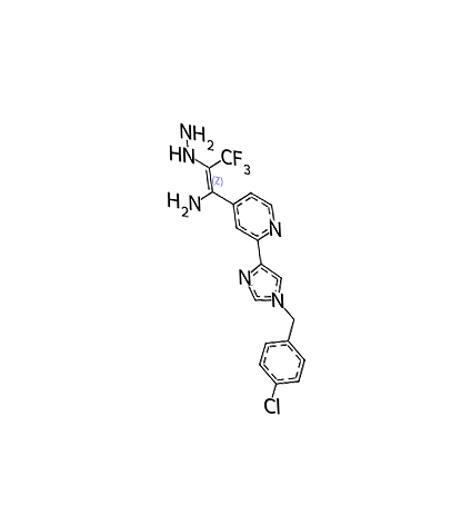 NN/C(=C(\N)c1ccnc(-c2cn(Cc3ccc(Cl)cc3)cn2)c1)C(F)(F)F